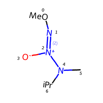 CO/N=[N+](\[O-])N(C)C(C)C